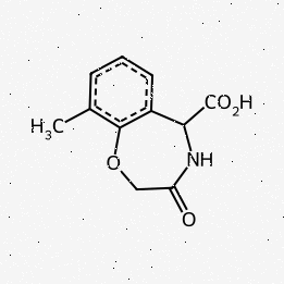 Cc1cccc2c1OCC(=O)NC2C(=O)O